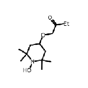 CCC(=O)COC1CC(C)(C)N(O)C(C)(C)C1